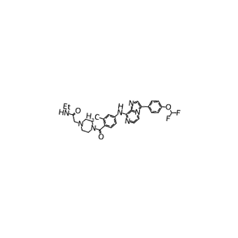 CCNC(=O)CN1CCN(C(=O)c2ccc(Nc3nccn4c(-c5ccc(OC(F)F)cc5)cnc34)cc2C)CC1